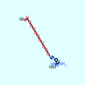 CCCCc1nc2c(N)nc3ccc(N4CCN(CCOCCOCCOCCOCCOCCOCCOCCOCCOCCOCCC(=O)OC(C)(C)C)CC4)cc3c2[nH]1